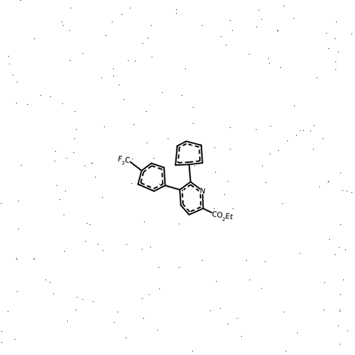 CCOC(=O)c1ccc(-c2ccc(C(F)(F)F)cc2)c(-c2ccccc2)n1